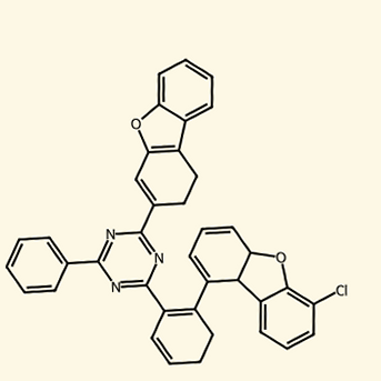 Clc1cccc2c1OC1C=CC=C(C3=C(c4nc(C5=Cc6oc7ccccc7c6CC5)nc(-c5ccccc5)n4)C=CCC3)C21